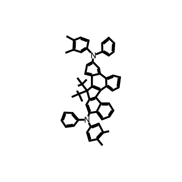 Cc1ccc(N(c2ccccc2)c2ccc3c4c(c5ccccc5c3c2)-c2c(cc(N(c3ccccc3)c3ccc(C)c(C)c3)c3ccccc23)C4(C(C)(C)C)C(C)(C)C)cc1C